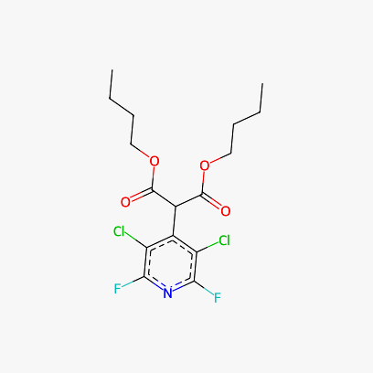 CCCCOC(=O)C(C(=O)OCCCC)c1c(Cl)c(F)nc(F)c1Cl